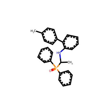 Cc1ccc(-c2ccccc2NC(C)P(=O)(c2ccccc2)c2ccccc2)cc1